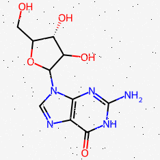 Nc1nc2c(ncn2C2OC(CO)[C@H](O)C2O)c(=O)[nH]1